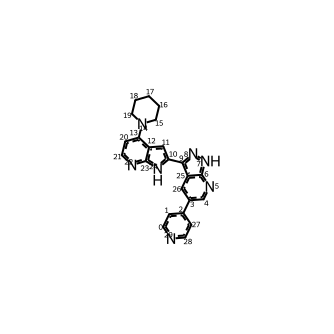 c1cc(-c2cnc3[nH]nc(-c4cc5c(N6CCCCC6)ccnc5[nH]4)c3c2)ccn1